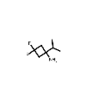 CC(C)C1(N)CC(F)(F)C1